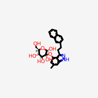 Cc1cc(O[C@]2(O)[C@@H](O)O[C@H](CO)[C@@H](O)[C@@H]2O)c2c(CCc3ccc4ccccc4c3)n[nH]c2c1